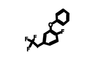 Fc1ccc([CH]C(F)(F)F)cc1Oc1ccccc1